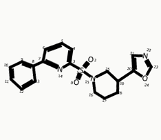 O=S(=O)(c1cccc(-c2ccccc2)n1)N1CCCC(c2cnco2)C1